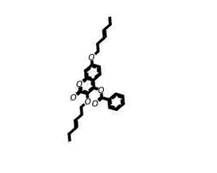 CCC=CCCOc1ccc2c(OC(=O)c3ccccc3)c(OCCC=CCC)c(=O)oc2c1